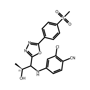 C[C@H](O)C(Nc1ccc(C#N)c(Cl)c1)c1nnc(-c2ccc(S(C)(=O)=O)cc2)o1